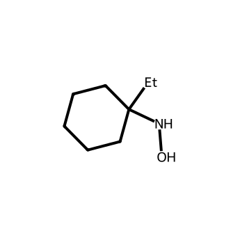 CCC1(NO)CCCCC1